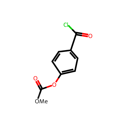 COC(=O)Oc1ccc(C(=O)Cl)cc1